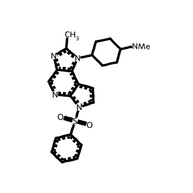 CNC1CCC(n2c(C)nc3cnc4c(ccn4S(=O)(=O)c4ccccc4)c32)CC1